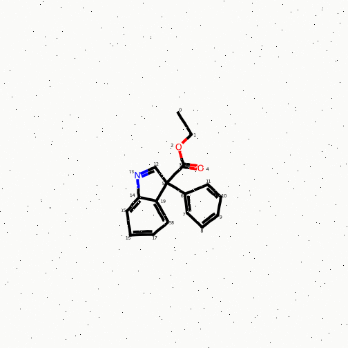 CCOC(=O)C1(c2ccccc2)C=Nc2ccccc21